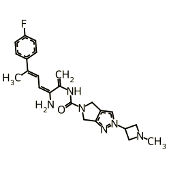 C=C(NC(=O)N1Cc2cn(C3CN(C)C3)nc2C1)/C(N)=C\C=C(/C)c1ccc(F)cc1